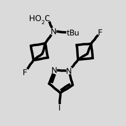 CC(C)(C)N(C(=O)O)C12CC(F)(C1)C2.FC12CC(n3cc(I)cn3)(C1)C2